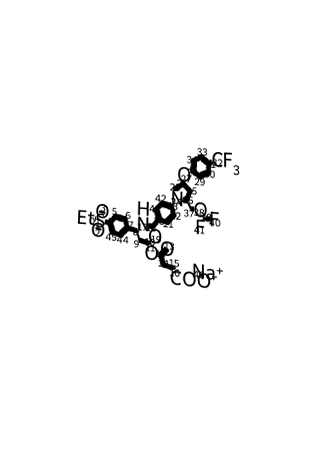 CCS(=O)(=O)c1ccc([C@H](CCOC(=O)CCC(=O)[O-])NC(=O)c2ccc(N3C[C@@H](Oc4ccc(C(F)(F)F)cc4)C[C@H]3COC(F)F)cc2)cc1.[Na+]